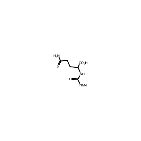 CNC(=O)NC(CCC(N)=S)C(=O)O